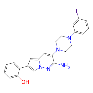 Nc1nn2cc(-c3ccccc3O)cc2cc1N1CCN(c2cccc(I)c2)CC1